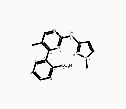 Cc1cnc(Nc2ccn(C)n2)nc1-c1ccccc1C(=O)O